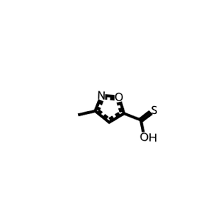 Cc1cc(C(O)=S)on1